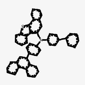 c1ccc(-c2ccc(N(c3ccc(-c4cc5ccccc5c5ccccc45)cc3)c3cc4ccccc4c4sc5ccccc5c34)cc2)cc1